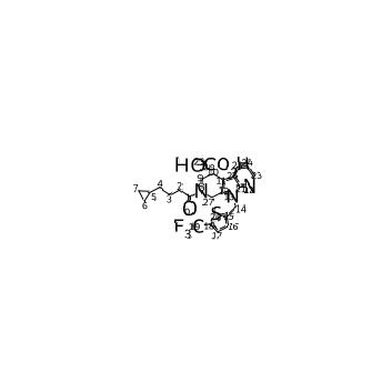 O=C(CCCC1CC1)N1CCc2c(n(Cc3ccc(C(F)(F)F)s3)c3ncccc23)C1.O=C(O)O